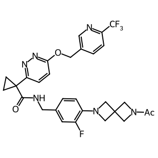 CC(=O)N1CC2(C1)CN(c1ccc(CNC(=O)C3(c4ccc(OCc5ccc(C(F)(F)F)nc5)nn4)CC3)cc1F)C2